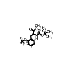 COC(=O)C(Cc1ccccc1OC(F)(F)F)NC(=O)OC(C)(C)C